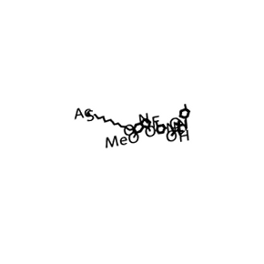 COc1cc2c(Oc3ccc(NC(=O)C4(C(=O)Nc5ccc(C)cc5)CC4)cc3F)ccnc2cc1OCCCCCCCCCSC(C)=O